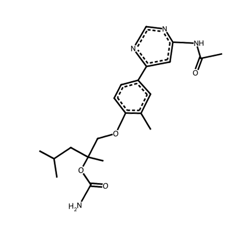 CC(=O)Nc1cc(-c2ccc(OCC(C)(CC(C)C)OC(N)=O)c(C)c2)ncn1